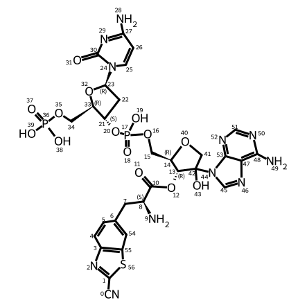 N#Cc1nc2ccc(C[C@H](N)C(=O)O[C@@H]3[C@@H](COP(=O)(O)O[C@H]4C[C@H](n5ccc(N)nc5=O)O[C@@H]4COP(=O)(O)O)OCC3(O)n3cnc4c(N)ncnc43)cc2s1